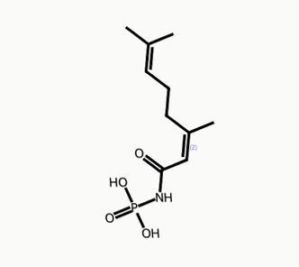 CC(C)=CCC/C(C)=C\C(=O)NP(=O)(O)O